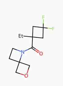 CCC1(C(=O)N2CCC23COC3)CC(F)(F)C1